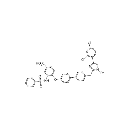 CCn1cc(-c2ccc(Cl)cc2Cl)nc1Cc1ccc(-c2ccc(Oc3ccc(C(=O)O)cc3NS(=O)(=O)c3ccccc3)cc2)cc1